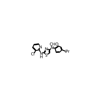 CC(C)c1ccc(N(C=O)c2csc(Nc3ncccc3Cl)n2)cc1